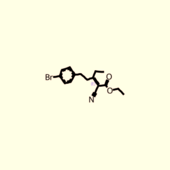 CCOC(=O)/C(C#N)=C(\CC)CCc1ccc(Br)cc1